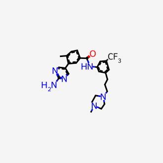 Cc1ccc(C(=O)Nc2cc(CCCN3CCN(C)CC3)cc(C(F)(F)F)c2)cc1-c1cnc(N)nc1